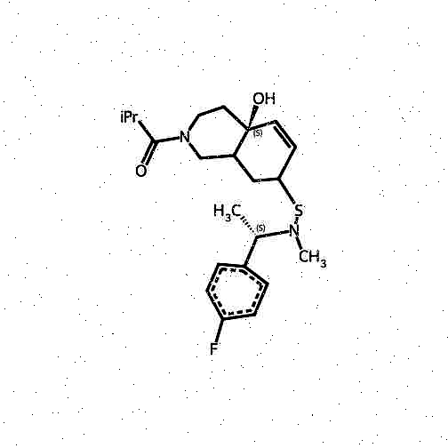 CC(C)C(=O)N1CC[C@]2(O)C=CC(SN(C)[C@@H](C)c3ccc(F)cc3)CC2C1